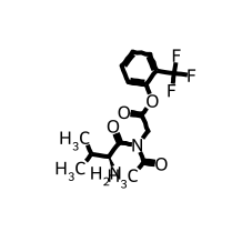 CC(=O)N(CC(=O)Oc1ccccc1C(F)(F)F)C(=O)[C@@H](N)C(C)C